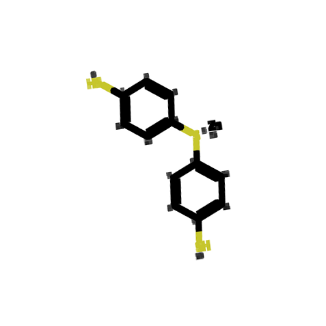 Sc1ccc(Sc2ccc(S)cc2)cc1.[Zn]